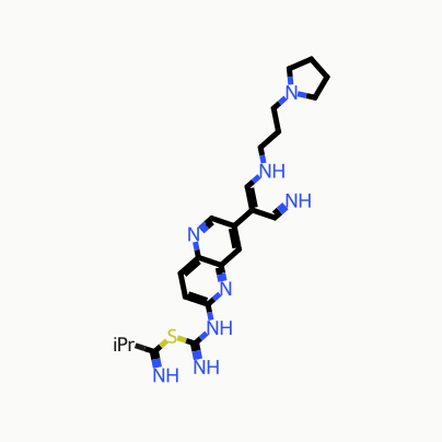 CC(C)C(=N)SC(=N)Nc1ccc2ncc(/C(C=N)=C/NCCCN3CCCC3)cc2n1